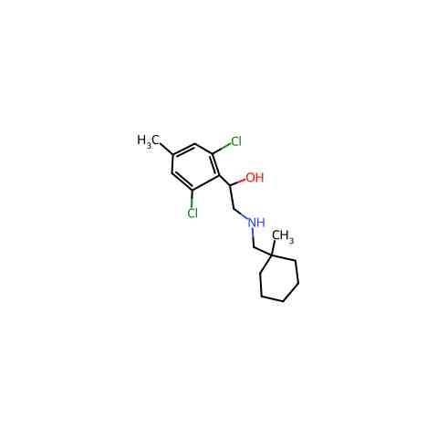 Cc1cc(Cl)c(C(O)CNCC2(C)CCCCC2)c(Cl)c1